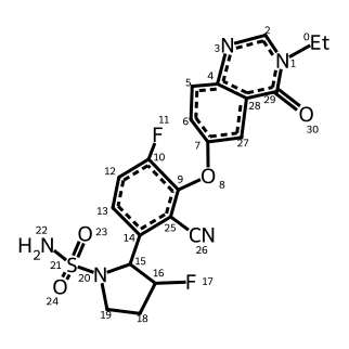 CCn1cnc2ccc(Oc3c(F)ccc(C4C(F)CCN4S(N)(=O)=O)c3C#N)cc2c1=O